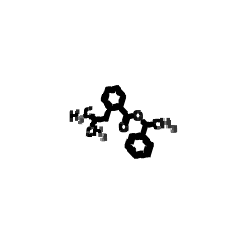 CC(C)Cc1ccccc1C(=O)OC(C)c1ccccc1